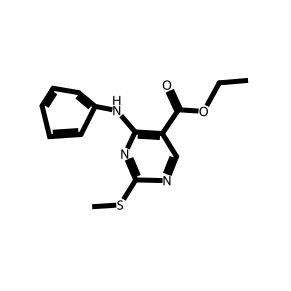 CCOC(=O)c1cnc(SC)nc1Nc1ccccc1